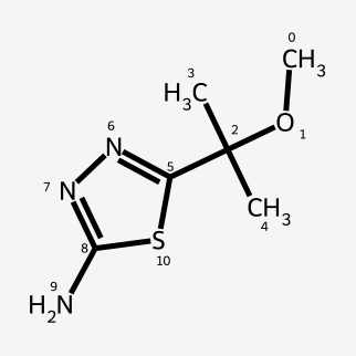 COC(C)(C)c1nnc(N)s1